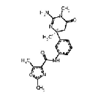 Cc1nc(C(=O)Nc2cccc([C@]3(C)CC(=O)N(C)C(N)=N3)c2)c(C)o1